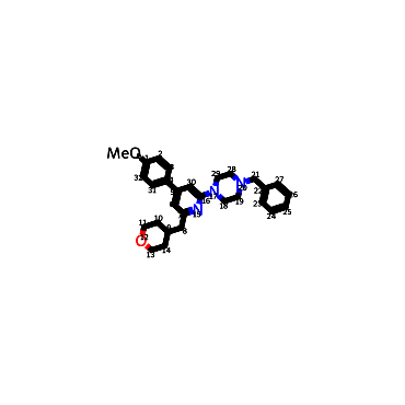 COc1ccc(-c2cc(CC3CCOCC3)nc(N3CCN(Cc4ccccc4)CC3)c2)cc1